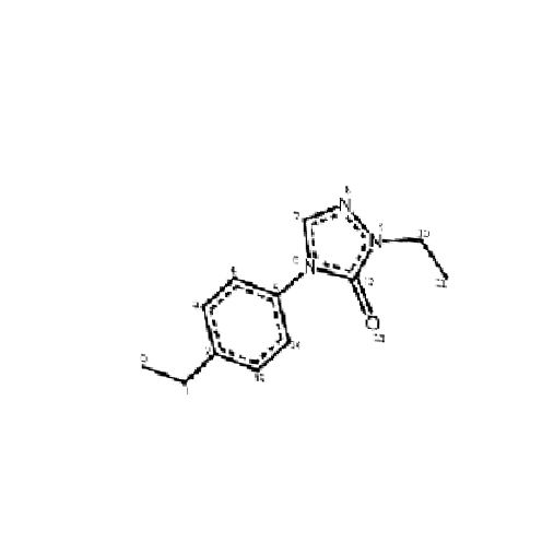 CCc1ccc(-n2cnn(CC)c2=O)cc1